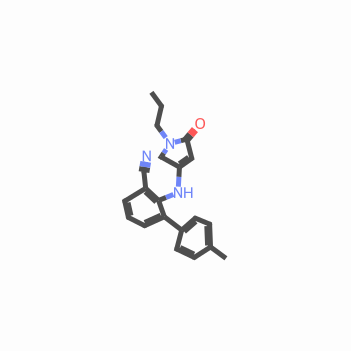 CCCN1CC(Nc2c(C#N)cccc2-c2ccc(C)cc2)=CC1=O